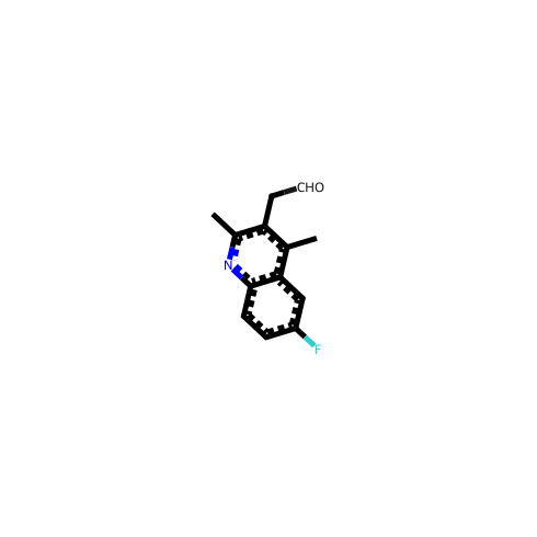 Cc1nc2ccc(F)cc2c(C)c1CC=O